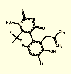 C=C(C)Cc1c(O)c(Cl)cc(F)c1-c1c(C(F)(F)F)n(C)c(=O)[nH]c1=O